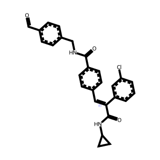 O=Cc1ccc(CNC(=O)c2ccc(/C=C(/C(=O)NC3CC3)c3cccc(Cl)c3)cc2)cc1